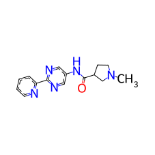 CN1CCC(C(=O)Nc2cnc(-c3ccccn3)nc2)C1